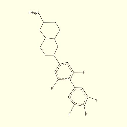 CCCCCCCC1CCC2CC(c3cc(F)c(-c4cc(F)c(F)c(F)c4)c(F)c3)CCC2C1